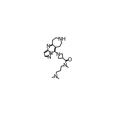 CN(C)CCCN(C)C(=O)C1CN(c2c3c(nc4ccnn24)CCNCC3)C1